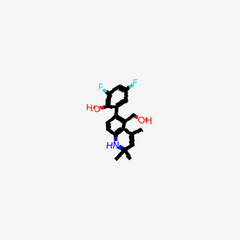 CC1=CC(C)(C)Nc2ccc(-c3cc(F)cc(F)c3O)c(CO)c21